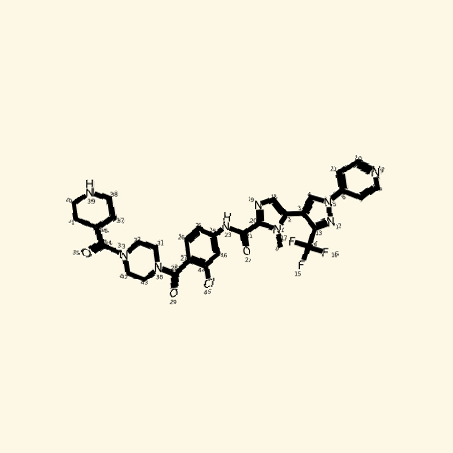 Cn1c(-c2cn(-c3ccncc3)nc2C(F)(F)F)cnc1C(=O)Nc1ccc(C(=O)N2CCN(C(=O)C3CCNCC3)CC2)c(Cl)c1